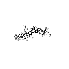 CCC(CC)(NC(=O)OC(C)(C)C)c1ccc(-c2ccc3c(cnn3C(=O)OC(C)(C)C)c2[N+](=O)[O-])cc1